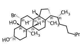 CC(C)CCC[C@@H](C)[C@H]1CC[C@H]2[C@@H]3C[C@@H](Br)[C@@]4(O)C[C@@H](O)CC[C@]4(C)[C@H]3CC[C@]12C